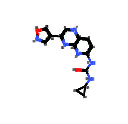 O=C(Nc1ccc2ncc(-c3cnoc3)nc2n1)NC1CC1